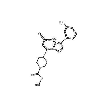 CC(C)(C)OC(=O)N1CCC(c2cc(=O)[nH]c3c(-c4cccc(C(F)(F)F)c4)cnn23)CC1